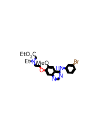 CCOC(=O)CN(CC)CCOc1cc2ncnc(Nc3cccc(Br)c3)c2cc1OC